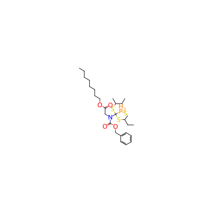 CCCCCCCCOC(=O)CN(C(=O)OCc1ccccc1)C([PH2]=S)(SC(C)CC)SC(C)CC